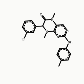 Cc1ccc(Nc2ncc3c(n2)N(C)C(c2cccc(Cl)c2)C(=O)N3C)cc1